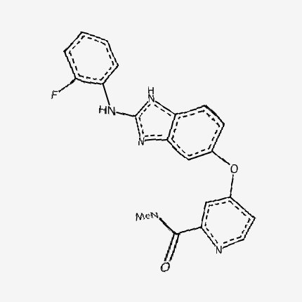 CNC(=O)c1cc(Oc2ccc3[nH]c(Nc4ccccc4F)nc3c2)ccn1